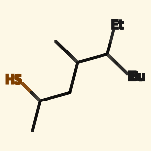 CCC(C)C(CC)C(C)CC(C)S